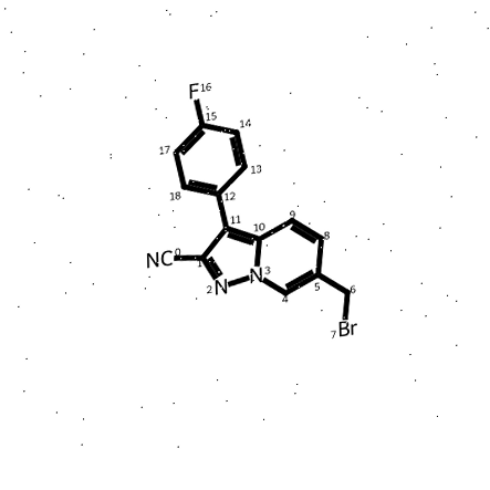 N#Cc1nn2cc(CBr)ccc2c1-c1ccc(F)cc1